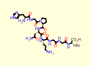 CCCC[C@H](NC(=O)CNC(=O)CNC(=O)[C@H](CCCN)NC(=O)[C@H](CC(N)=O)NC(=O)[C@@H]1CCCN1C(=O)CNC(=O)[C@@H](N)Cc1c[nH]cn1)C(=O)O